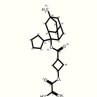 C=C(C)C(=O)OC1CC(C(=O)OC2(C3CCCC3)C3CC4CC2CC(C)(C4)C3)C1